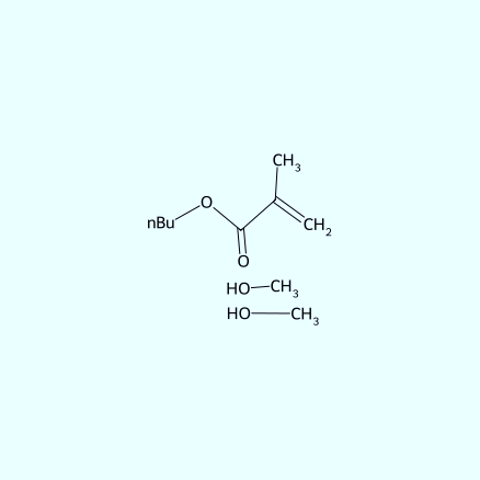 C=C(C)C(=O)OCCCC.CO.CO